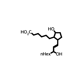 CCCCCCC(O)C=CC1CCC(O)C1CCCCCC(=O)O